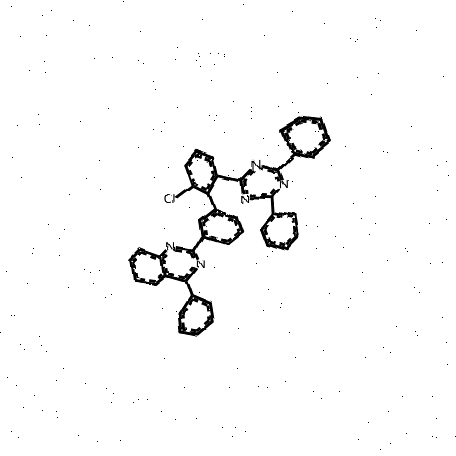 Clc1cccc(-c2nc(-c3ccccc3)nc(-c3ccccc3)n2)c1-c1cccc(-c2nc(-c3ccccc3)c3ccccc3n2)c1